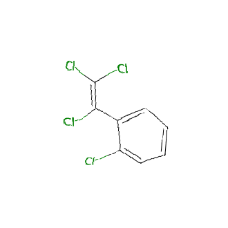 ClC(Cl)=C(Cl)c1ccccc1Cl